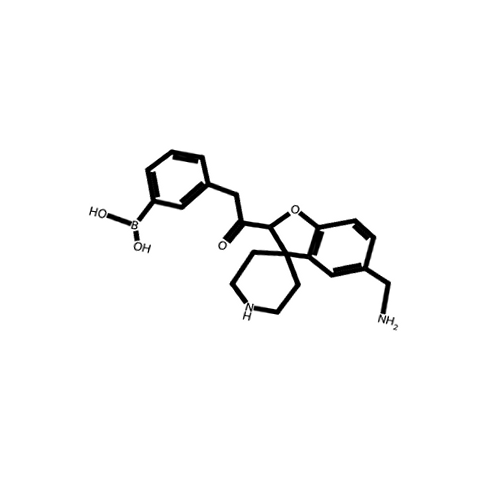 NCc1ccc2c(c1)C1(CCNCC1)C(C(=O)Cc1cccc(B(O)O)c1)O2